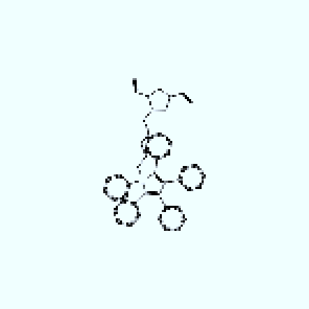 C=CC1CC(C=C)C(CCCCCS2(c3ccccc3)C(c3ccccc3)=C(c3ccccc3)C(c3ccccc3)=C2c2ccccc2)C1